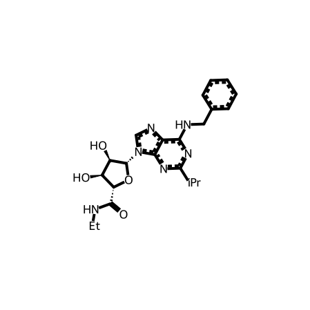 CCNC(=O)[C@H]1O[C@@H](n2cnc3c(NCc4ccccc4)nc(C(C)C)nc32)[C@H](O)[C@@H]1O